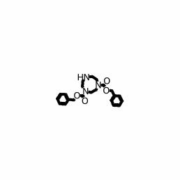 O=C(OCc1ccccc1)N1CCNCCN(C(=O)OCc2ccccc2)CC1